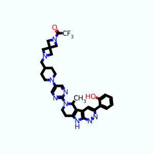 CC1c2c([nH]c3nnc(-c4ccccc4O)cc23)CCN1c1ncc(N2CCC(CN3CC4(C3)CN(C(=O)C(F)(F)F)C4)CC2)cn1